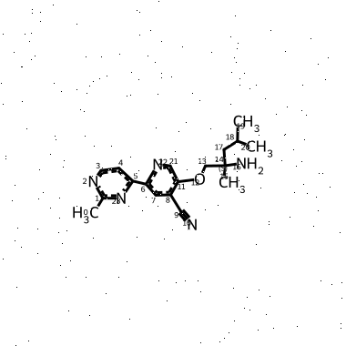 Cc1nccc(-c2cc(C#N)c(OC[C@@](C)(N)CC(C)C)cn2)n1